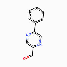 O=[C]c1cnc(-c2ccccc2)cn1